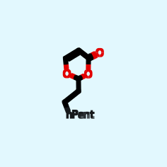 CCCCCCCC1OC=CC(=O)O1